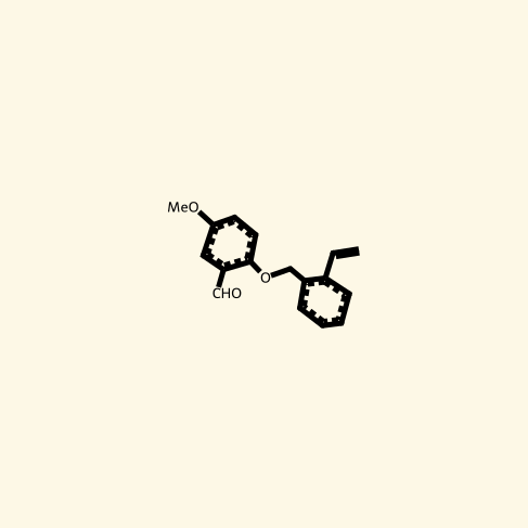 C=Cc1ccccc1COc1ccc(OC)cc1C=O